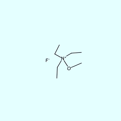 CC[N+](CC)(CC)OC.[F-]